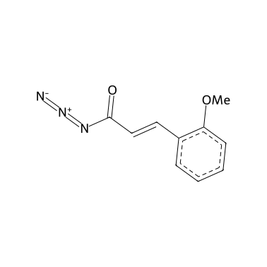 COc1ccccc1/C=C/C(=O)N=[N+]=[N-]